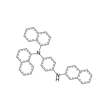 c1ccc2cc(Nc3ccc(N(c4cccc5ccccc45)c4cccc5ccccc45)cc3)ccc2c1